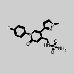 Cn1ccc(-c2cn(-c3ccc(F)cc3)c(=O)cc2CNS(N)(=O)=O)n1